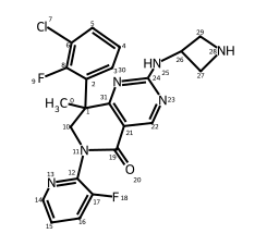 CC1(c2cccc(Cl)c2F)CN(c2ncccc2F)C(=O)c2cnc(NC3CNC3)nc21